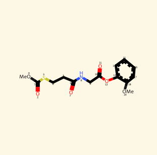 COC(=O)SCCC(=O)NCC(=O)Oc1ccccc1OC